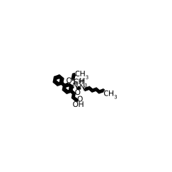 CCCCCCCNC(=O)N(C)c1c(CCC(=O)O)ccc(-c2ccccc2)c1OCCC